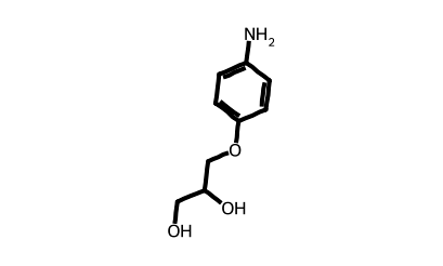 Nc1ccc(OCC(O)CO)cc1